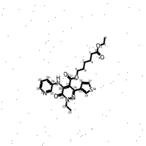 CCOC(=O)CCCCCOC(=O)c1c(-c2ccsc2)nn(CC)c(=O)c1Nc1cccnc1